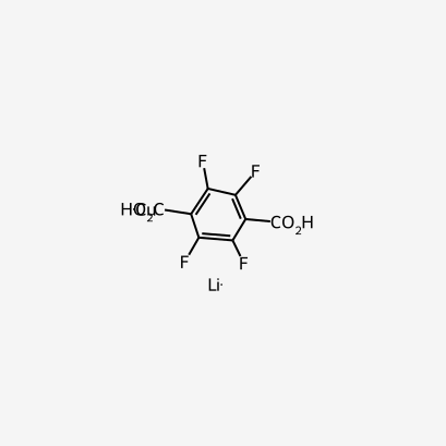 O=C(O)c1c(F)c(F)c(C(=O)O)c(F)c1F.[Cu].[Li]